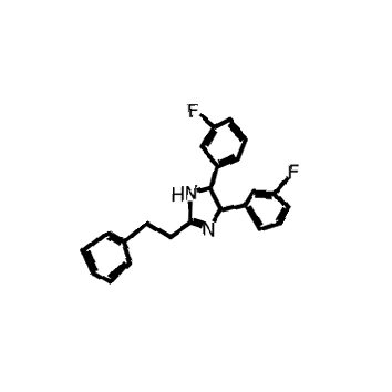 Fc1cccc(C2N=C(CCc3ccccc3)NC2c2cccc(F)c2)c1